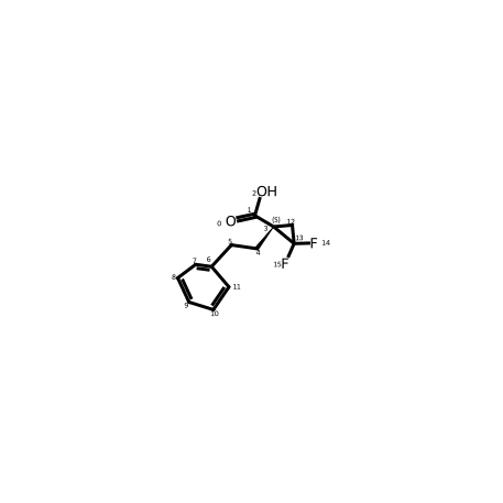 O=C(O)[C@]1(CCc2ccccc2)CC1(F)F